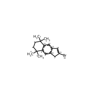 CC1(C)CCC(C)(C)c2cc3c(cc21)C=C(Br)C3